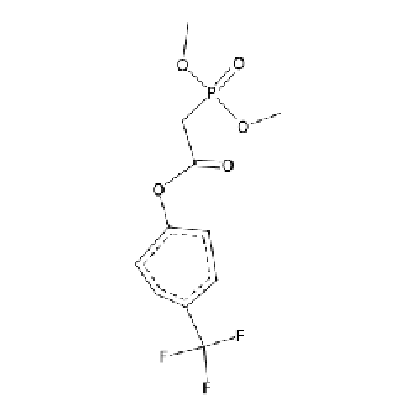 COP(=O)(CC(=O)Oc1ccc(C(F)(F)F)cc1)OC